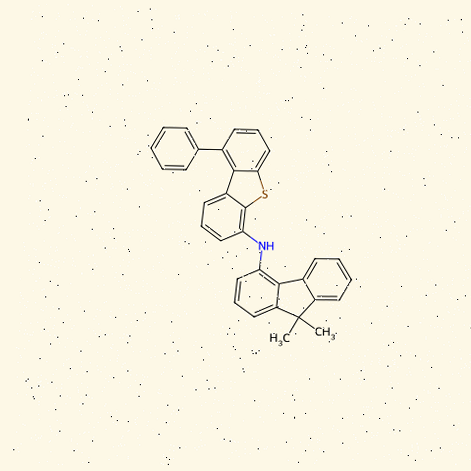 CC1(C)c2ccccc2-c2c(Nc3cccc4c3sc3cccc(-c5ccccc5)c34)cccc21